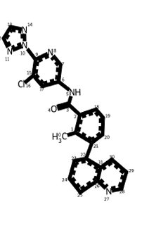 Cc1c(C(=O)Nc2cnc(-n3nccn3)c(Cl)c2)cccc1-c1cccc2ncccc12